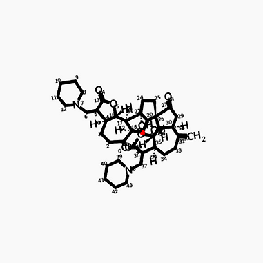 C=C1CC[C@H]2C(CN3CCCCC3)C(=O)O[C@@H]2[C@@H]2[C@H]1C[C@@]1(O)[C@]2(O)CC[C@]12C(=O)C[C@H]1C(=C)CC[C@H]3C(CN4CCCCC4)C(=O)O[C@@H]3[C@H]12